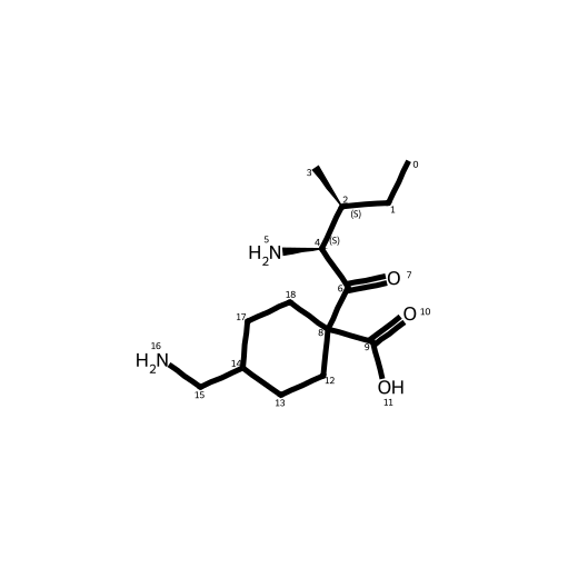 CC[C@H](C)[C@H](N)C(=O)C1(C(=O)O)CCC(CN)CC1